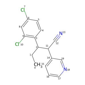 CCC(c1ccc(Cl)cc1Cl)C(C#N)c1cccnc1